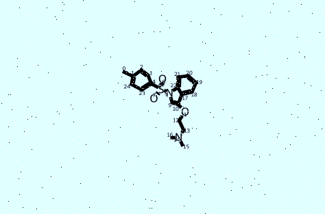 Cc1ccc(S(=O)(=O)n2cc(OCCN(C)C)c3ccccc32)cc1